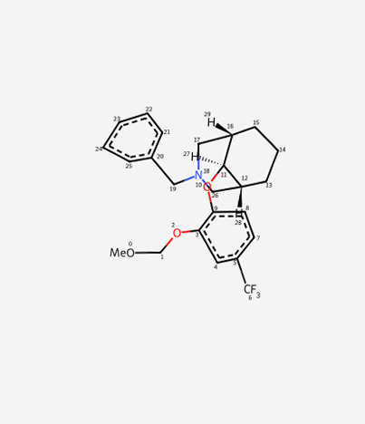 COCOc1cc(C(F)(F)F)ccc1O[C@@H]1[C@@H]2CCC[C@H]1CN(Cc1ccccc1)C2